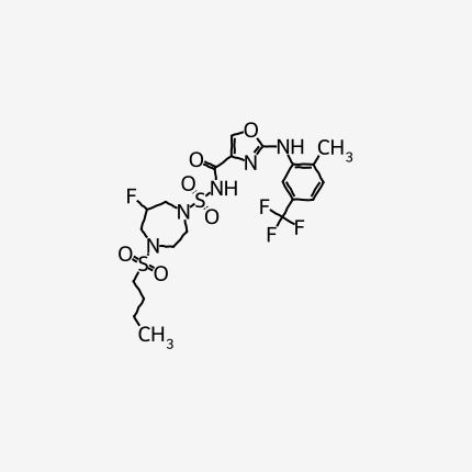 CCCCS(=O)(=O)N1CCN(S(=O)(=O)NC(=O)c2coc(Nc3cc(C(F)(F)F)ccc3C)n2)CC(F)C1